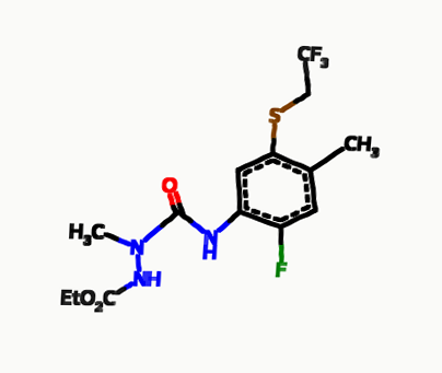 CCOC(=O)NN(C)C(=O)Nc1cc(SCC(F)(F)F)c(C)cc1F